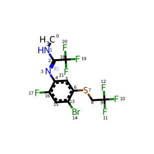 CN/C(=N/c1cc(SCC(F)(F)F)c(Br)cc1F)C(F)(F)F